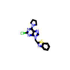 Clc1nc(N2CCCC2)c2ncn(Cc3nc4ccccc4s3)c2n1